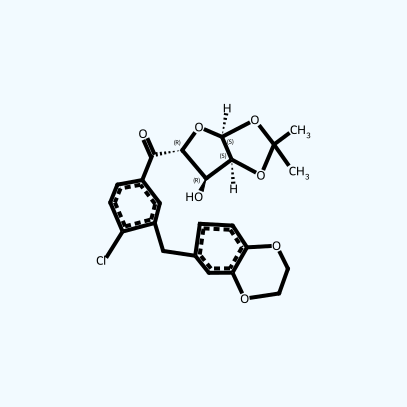 CC1(C)O[C@@H]2O[C@@H](C(=O)c3ccc(Cl)c(Cc4ccc5c(c4)OCCO5)c3)[C@H](O)[C@@H]2O1